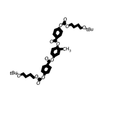 Cc1cc(OC(=O)c2ccc(OC(=O)OCCCCOC(C)(C)C)cc2)ccc1OC(=O)c1ccc(OC(=O)OCCCCOC(C)(C)C)cc1